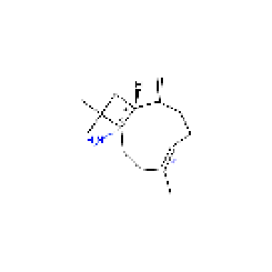 C=C1CC/C=C(\C)CC[C@]2(N)[C@@H]1CC2(C)C